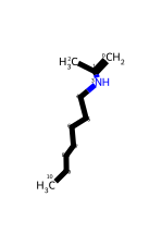 C=C(C)NCCCCCCC